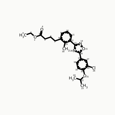 CCOC(=O)CCCc1cccc(-c2noc(-c3ccc(OC(C)C)c(Cl)c3)n2)c1C